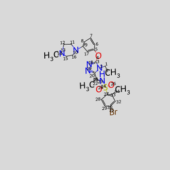 CCn1c(Oc2cccc(N3CCN(C)CC3)c2)nnc1[C@@H](C)NS(=O)(=O)c1ccc(Br)cc1C